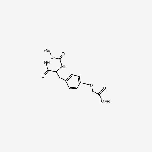 COC(=O)COc1ccc(CC(NC(=O)OC(C)(C)C)C([NH])=O)cc1